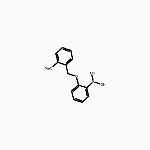 COc1ccccc1COc1ccccc1B(O)O